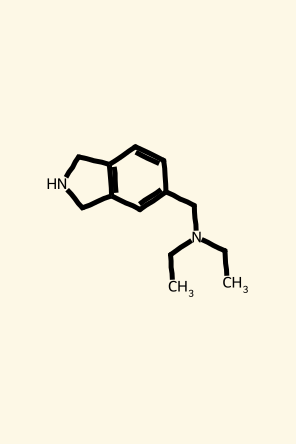 CCN(CC)Cc1ccc2c(c1)CNC2